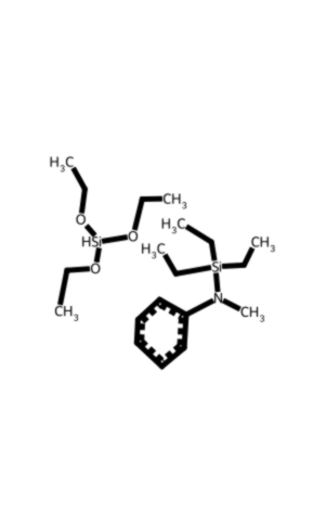 CCO[SiH](OCC)OCC.CC[Si](CC)(CC)N(C)c1ccccc1